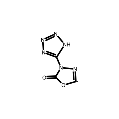 O=c1o[c]nn1-c1nnn[nH]1